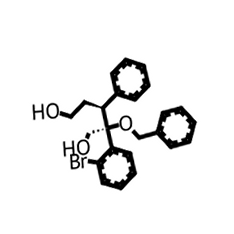 OCC[C@@H](c1ccccc1)[C@@](CO)(OCc1ccccc1)c1ccccc1Br